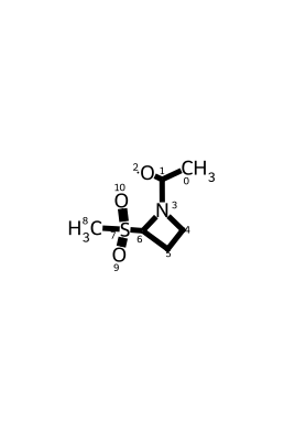 CC([O])N1CCC1S(C)(=O)=O